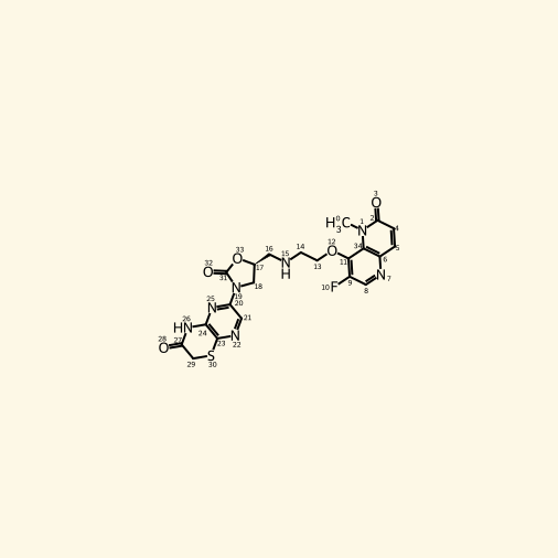 Cn1c(=O)ccc2ncc(F)c(OCCNC[C@H]3CN(c4cnc5c(n4)NC(=O)CS5)C(=O)O3)c21